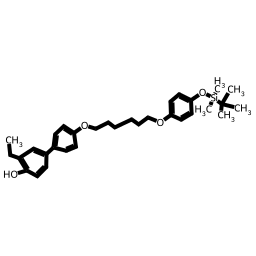 CCc1cc(-c2ccc(OCCCCCCOc3ccc(O[Si](C)(C)C(C)(C)C)cc3)cc2)ccc1O